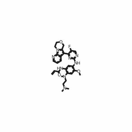 C=CC(=O)Nc1cc(Nc2ncc(F)c(-c3c4n(c5ncccc35)CCOC4)n2)c(OC)cc1N(C)CCN(C)C